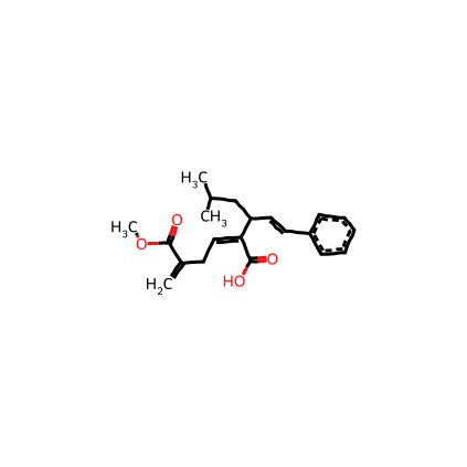 C=C(CC=C(C(=O)O)C(C=Cc1ccccc1)CC(C)C)C(=O)OC